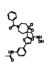 CC(=O)Nc1cccc(-c2ccc(C3(CC(=O)NO)CCN(C(=O)c4ccccc4)CCS3(=O)=O)s2)c1